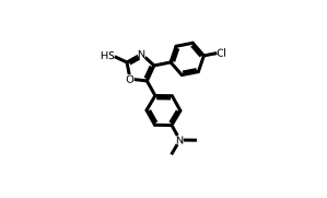 CN(C)c1ccc(-c2oc(S)nc2-c2ccc(Cl)cc2)cc1